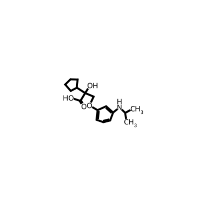 CC(C)Nc1cccc(OCC(O)(C(=O)O)C2CCCC2)c1